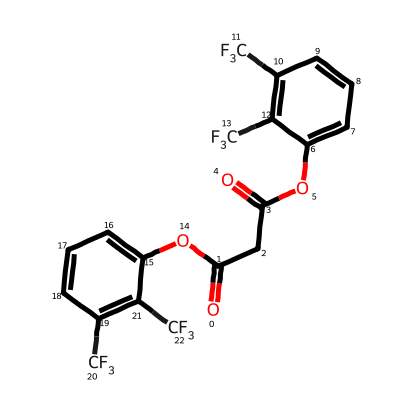 O=C(CC(=O)Oc1cccc(C(F)(F)F)c1C(F)(F)F)Oc1cccc(C(F)(F)F)c1C(F)(F)F